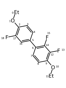 CCOc1ccc(-c2ccc(OCC)c(F)c2F)cc1F